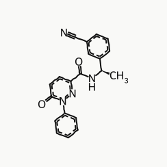 C[C@@H](NC(=O)c1ccc(=O)n(-c2ccccc2)n1)c1cccc(C#N)c1